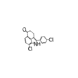 O=C1CCc2c(-c3ccc(Cl)cc3)[nH]c3c(Cl)ccc1c23